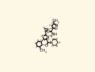 Cc1cccc(-c2sc(C3CC3)nc2C(=O)N2CCCC[C@H]2CNC(=O)c2cc(C)no2)c1